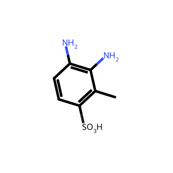 Cc1c(S(=O)(=O)O)ccc(N)c1N